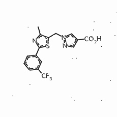 Cc1nc(-c2cccc(C(F)(F)F)c2)sc1Cn1cc(C(=O)O)cn1